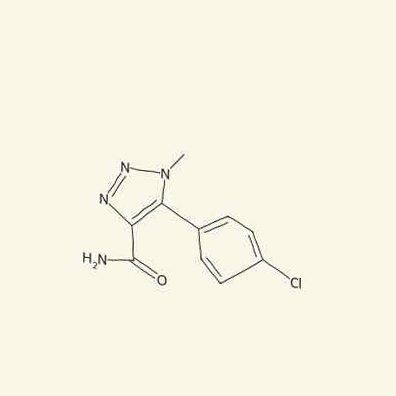 Cn1nnc(C(N)=O)c1-c1ccc(Cl)cc1